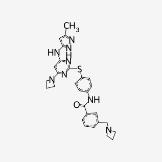 Cc1cc(Nc2cc(N3CCC3)nc(Sc3ccc(NC(=O)c4cccc(CN5CCC5)c4)cc3)n2)[nH]n1